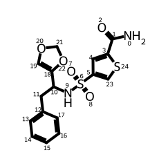 NC(=O)c1cc(S(=O)(=O)NC(Cc2ccccc2)C2=COCO2)cs1